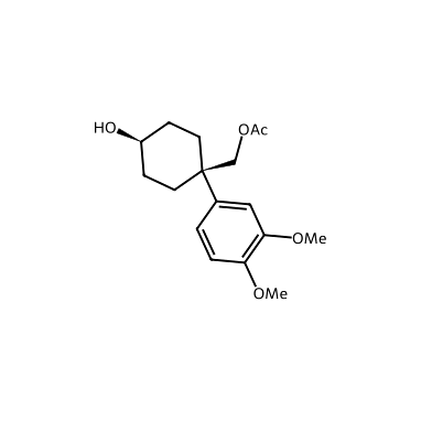 COc1ccc([C@]2(COC(C)=O)CC[C@@H](O)CC2)cc1OC